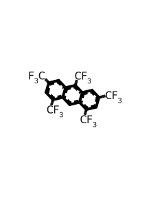 FC(F)(F)c1cc(C(F)(F)F)c2cc3c(C(F)(F)F)cc(C(F)(F)F)cc3c(C(F)(F)F)c2c1